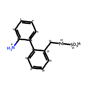 Nc1ccccc1-c1ccccc1[CH2][Pd][S](=O)(=O)O